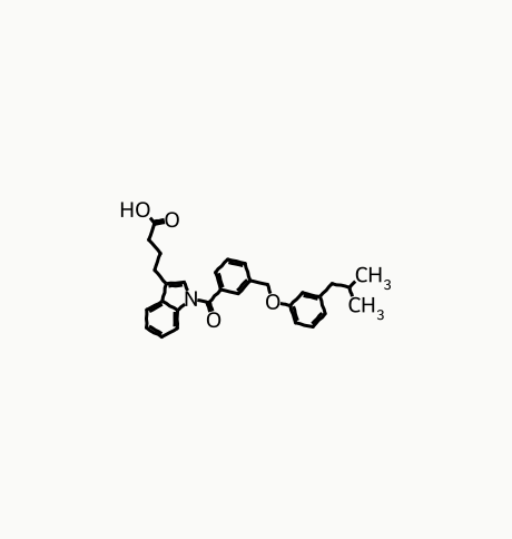 CC(C)Cc1cccc(OCc2cccc(C(=O)n3cc(CCCC(=O)O)c4ccccc43)c2)c1